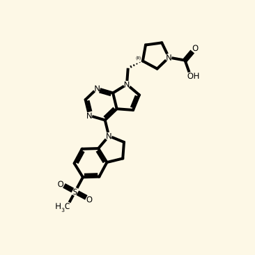 CS(=O)(=O)c1ccc2c(c1)CCN2c1ncnc2c1ccn2C[C@@H]1CCN(C(=O)O)C1